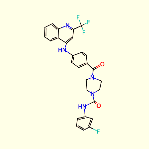 O=C(Nc1cccc(F)c1)N1CCN(C(=O)c2ccc(Nc3cc(C(F)(F)F)nc4ccccc34)cc2)CC1